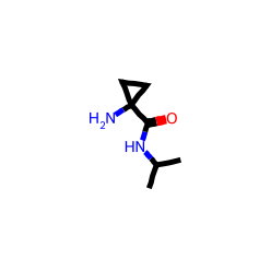 CC(C)NC(=O)C1(N)CC1